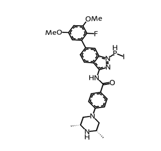 COc1cc(OC)c(F)c(-c2ccc3c(NC(=O)c4ccc(N5C[C@@H](C)N[C@@H](C)C5)cc4)nn(PI)c3c2)c1